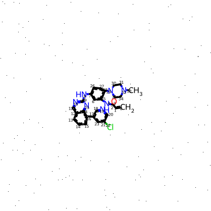 C=CC(=O)Nc1cc(Nc2ncc3cccc(-c4cncc(Cl)c4)c3n2)ccc1N1CCN(C)CC1